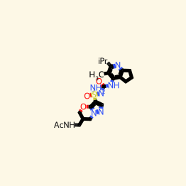 CC(=O)NCC1COc2c(S(N)(=O)=NC(=O)Nc3c(C)c(C(C)C)nc4c3CCC4)cnn2C1